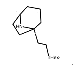 CCCCC[CH]CCC12CCCC(CC1)N2